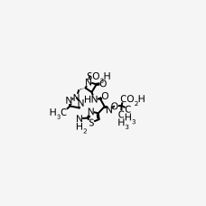 Cc1cnn(C[C@H]2C(NC(=O)/C(=N\OC(C)(C)C(=O)O)c3csc(N)n3)C(=O)N2S(=O)(=O)O)n1